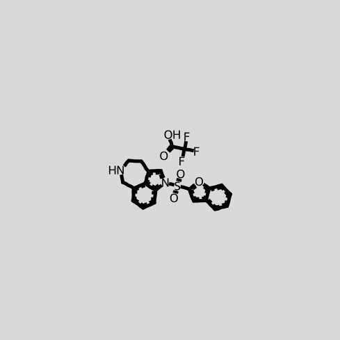 O=C(O)C(F)(F)F.O=S(=O)(c1cc2ccccc2o1)n1cc2c3c(cccc31)CNCC2